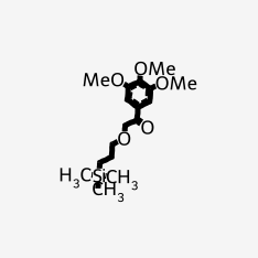 COc1cc(C(=O)COCCC[Si](C)(C)C)cc(OC)c1OC